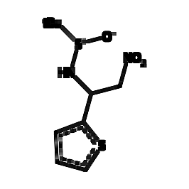 CC(C)(C)[S+]([O-])NC(C[N+](=O)[O-])c1cccs1